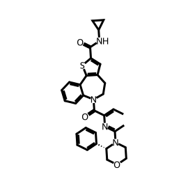 C/C=C(\N=C(/C)N1CCOC[C@@H]1c1ccccc1)C(=O)N1CCc2cc(C(=O)NC3CC3)sc2-c2ccccc21